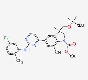 CC(C)(C)OC(=O)N1CC(C)(CO[Si](C)(C)C(C)(C)C)c2cc(-c3ccnc(Nc4cc(Cl)ccc4C(F)(F)F)n3)cc(C#N)c21